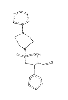 O=CN(O)C(CS(=O)(=O)N1CCN(c2ccccc2)CC1)c1ccccc1